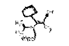 C#C/C(C)=C(\c1ccccc1)N(COC)C(=C)C